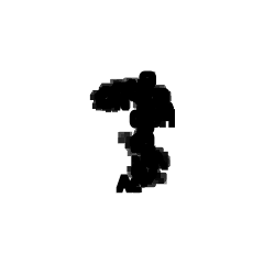 CC[C@@]1(OP(=O)(O)OC[C@H]2O[C@@H](n3cnc4c3N=CN(C(C)=O)C[C@H]4C)C[C@@H]2C)C(=O)OCc2c1cc1n(c2=O)Cc2cc3ccccc3nc2-1